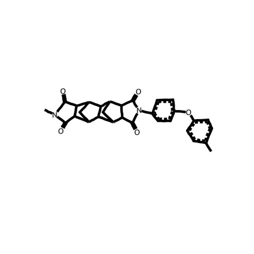 Cc1ccc(Oc2ccc(N3C(=O)C4C5CC(C4C3=O)C3C4CC(C6C(=O)N(C)C(=O)C46)C53)cc2)cc1